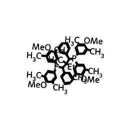 CCC(C)(C(c1ccccc1)P(c1cc(C)c(OC)c(C)c1)c1cc(C)c(OC)c(C)c1)C(c1ccccc1)P(c1cc(C)c(OC)c(C)c1)c1cc(C)c(OC)c(C)c1